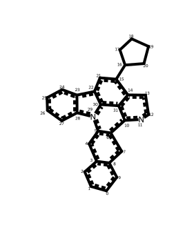 c1ccc2cc3c(cc2c1)c1nccc2c(C4CCCC4)cc4c5ccccc5n3c4c21